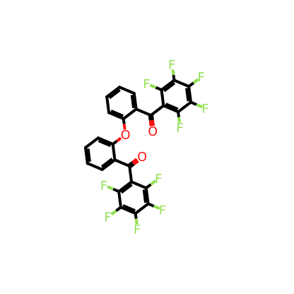 O=C(c1ccccc1Oc1ccccc1C(=O)c1c(F)c(F)c(F)c(F)c1F)c1c(F)c(F)c(F)c(F)c1F